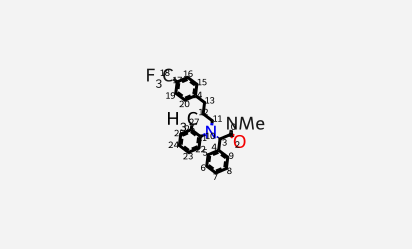 CNC(=O)[C@H](c1ccccc1)N(CCCc1ccc(C(F)(F)F)cc1)c1ccccc1C